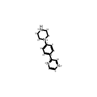 c1cnc(-c2ccc(N3CCNCC3)cc2)cn1